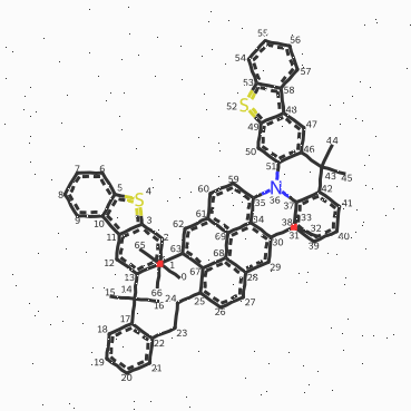 Cc1cc2sc3ccccc3c2cc1C(C)(C)c1ccccc1CCc1ccc2cc(C(C)C)c3c(N4c5ccccc5C(C)(C)c5cc6c(cc54)sc4ccccc46)ccc4cc(C(C)C)c1c2c43